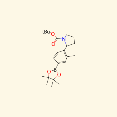 Cc1cc(B2OC(C)(C)C(C)(C)O2)ccc1C1CCCN1C(=O)OC(C)(C)C